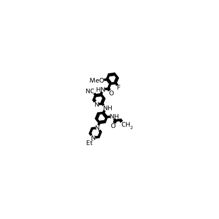 C=CC(=O)Nc1cc(N2CCN(CC)CC2)ccc1Nc1cc(NC(=O)c2c(F)cccc2OC)c(C#N)cn1